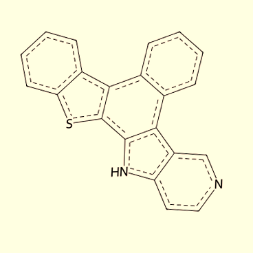 c1ccc2c(c1)sc1c3[nH]c4ccncc4c3c3ccccc3c21